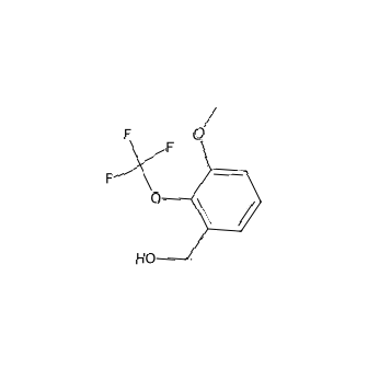 COc1cccc([CH]O)c1OC(F)(F)F